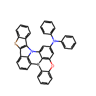 c1ccc(N(c2ccccc2)c2cc3c4c(c2)-n2c5c(cccc5c5sc6ccccc6c52)B4c2ccccc2O3)cc1